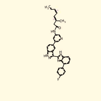 C=C/C=C\C=C(/C)CC(=O)Nc1cncc(-c2ccc3[nH]nc(-c4nc5c(-c6ccc(F)cc6)cccc5[nH]4)c3c2)c1